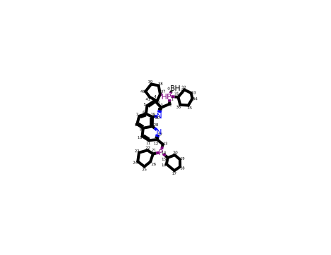 B[PH](Cc1ccc2ccc3ccc(CP(C4CCCCC4)C4CCCCC4)nc3c2n1)(C1CCCCC1)C1CCCCC1